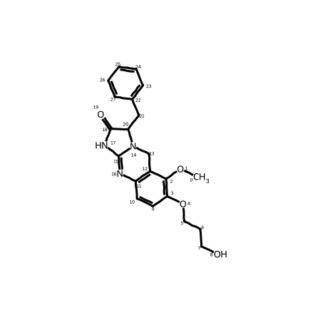 COc1c(OCCCO)ccc2c1CN1C(=N2)NC(=O)C1Cc1ccccc1